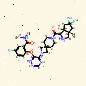 CCN(C(=O)c1cc(F)ccc1Oc1nncnc1N1CC2(CCN(C(=O)C3NC[C@H]4CC(F)(F)C[C@@H]34)CC2)C1)C(C)C